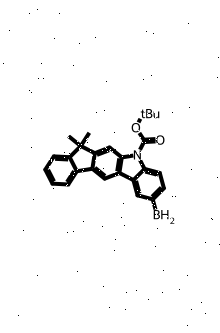 Bc1ccc2c(c1)c1cc3c(cc1n2C(=O)OC(C)(C)C)C(C)(C)c1ccccc1-3